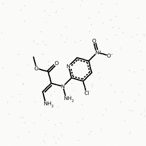 COC(=O)/C(=C/N)N(N)c1ncc([N+](=O)[O-])cc1Cl